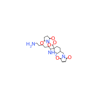 NCCCCCC(N)C1(C(=O)ON2C(=O)CCC2=O)CCC(CN2C(=O)C=CC2=O)CC1